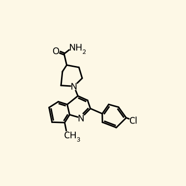 Cc1cccc2c(N3CCC(C(N)=O)CC3)cc(-c3ccc(Cl)cc3)nc12